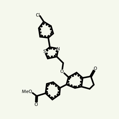 COC(=O)c1ccc(-c2cc3c(cc2OCc2csc(-c4ccc(Cl)cc4)n2)C(=O)CC3)cc1